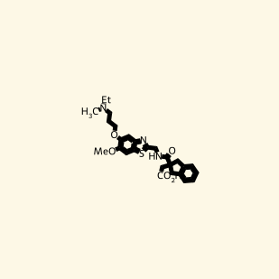 CCN(C)CCCOc1cc2nc(CNC(=O)C3(CC(=O)O)Cc4ccccc4C3)sc2cc1OC